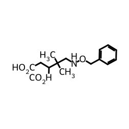 CC(C)(CNOCc1ccccc1)C(CC(=O)O)C(=O)O